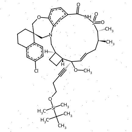 CO[C@]1(C#CCCO[Si](C)(C)C(C)(C)C)/C=C/C[C@H](C)[C@@H](C)S(=O)(=O)NC(=O)c2ccc3c(c2)N(C[C@@H]2CC[C@H]21)C[C@@]1(CCCc2cc(Cl)ccc21)CO3